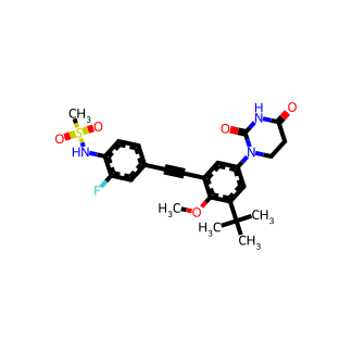 COc1c(C#Cc2ccc(NS(C)(=O)=O)c(F)c2)cc(N2CCC(=O)NC2=O)cc1C(C)(C)C